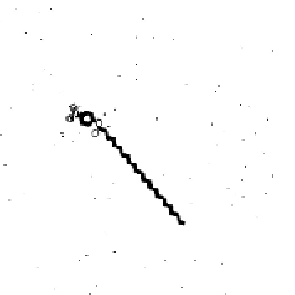 CCCCCCCCCCCCCCCCCCCCCCCC(=O)Oc1ccc([N+](=O)[O-])cc1